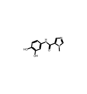 Cn1cncc1C(=O)Nc1ccc(O)c(O)c1